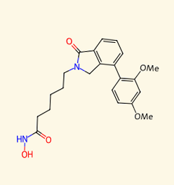 COc1ccc(-c2cccc3c2CN(CCCCCC(=O)NO)C3=O)c(OC)c1